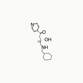 O=C(C[C@H](O)CNCC1CCCCC1)c1ccncc1